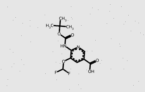 CC(C)(C)OC(=O)Nc1ncc(C(=O)O)cc1OC(F)F